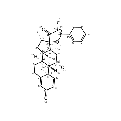 C[C@H]1C[C@H]2[C@@H]3CCC4=CC(=O)C=C[C@]4(C)[C@H]3[C@@H](O)C[C@]2(C)[C@@]1(OC(=O)c1ccccc1)C(=O)CCl